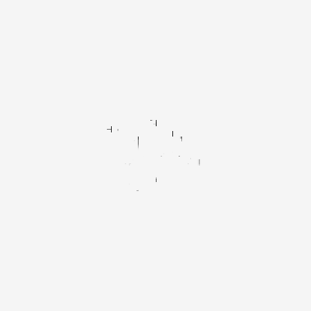 CC(C)c1ccccc1[C@H](C)O